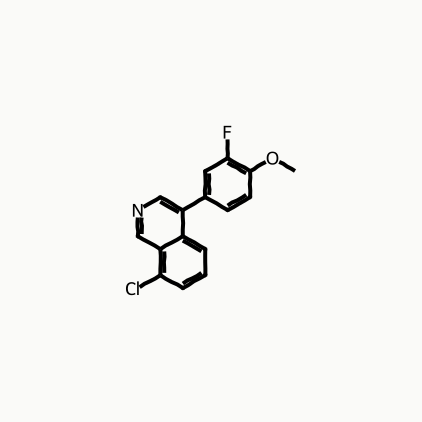 COc1ccc(-c2cncc3c(Cl)cccc23)cc1F